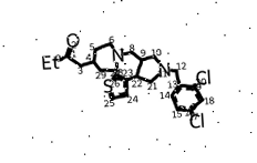 CCC(=O)CC1CCN(CC2CN(Cc3ccc(Cl)cc3Cl)CC2c2ccsc2)CC1